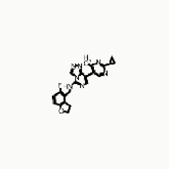 Cc1nc(C2CC2)ncc1-c1cnc(NCc2c(F)ccc3c2CCO3)n2cnnc12